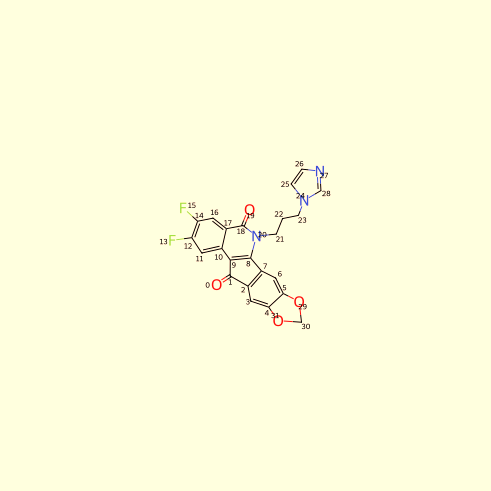 O=C1c2cc3c(cc2-c2c1c1cc(F)c(F)cc1c(=O)n2CCCn1ccnc1)OCO3